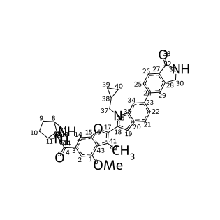 COc1cc(C(=O)N2CC3CCC2[C@@H]3N)cc2oc(-c3cc4ccc(-c5ccc6c(c5)CNC6=O)cc4n3CC3CC3)c(C)c12